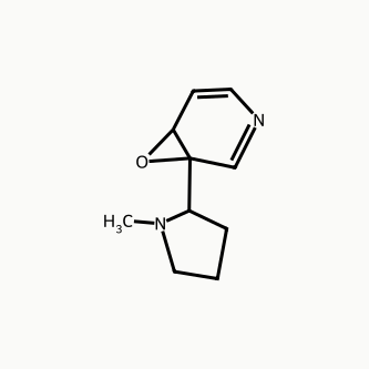 CN1CCCC1C12C=NC=CC1O2